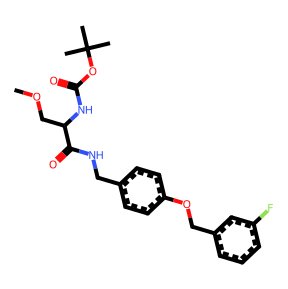 COCC(NC(=O)OC(C)(C)C)C(=O)NCc1ccc(OCc2cccc(F)c2)cc1